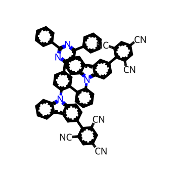 N#Cc1cc(C#N)c(-c2ccc3c(c2)c2ccccc2n3-c2ccccc2-c2cc(-c3cc(-c4ccccc4)nc(-c4ccccc4)n3)ccc2-n2c3ccccc3c3cc(-c4c(C#N)cc(C#N)cc4C#N)ccc32)c(C#N)c1